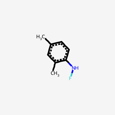 Cc1ccc(NF)c(C)c1